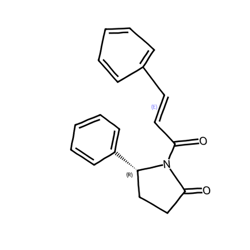 O=C(/C=C/c1ccccc1)N1C(=O)CC[C@@H]1c1ccccc1